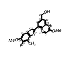 COc1cnc2c(-c3nc4c(C)c(F)c(OC)cc4s3)cc(CO)cc2n1